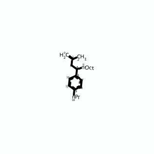 C=C(C)CC(CCCCCCCC)c1ccc(CCC)cc1